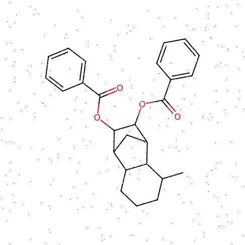 CC1CCCC2C3CC(C(OC(=O)c4ccccc4)C3OC(=O)c3ccccc3)C12